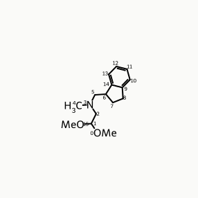 COC(CN(C)CC1CCc2ccccc21)OC